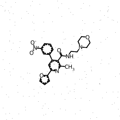 Cc1nc(-c2ccco2)cc(-c2cccc([N+](=O)[O-])c2)c1C(=O)NCCN1CCOCC1